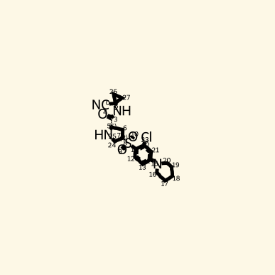 N#CC1(NC(=O)[C@@H]2C[C@@H](S(=O)(=O)c3ccc(N4CCCCC4)cc3Cl)CN2)CC1